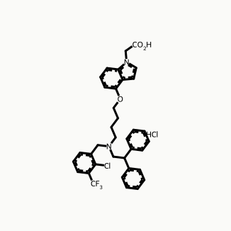 Cl.O=C(O)Cn1ccc2c(OCCCCN(Cc3cccc(C(F)(F)F)c3Cl)CC(c3ccccc3)c3ccccc3)cccc21